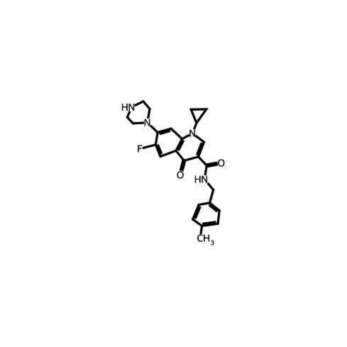 Cc1ccc(CNC(=O)c2cn(C3CC3)c3cc(N4CCNCC4)c(F)cc3c2=O)cc1